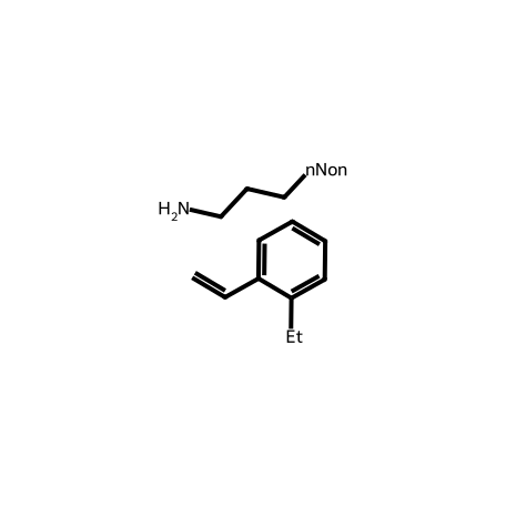 C=Cc1ccccc1CC.CCCCCCCCCCCCN